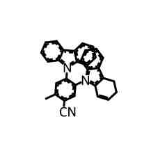 Cc1cc(-n2c3ccccc3c3ccccc32)c(-n2c3c(c4ccccc42)CCC=C3)cc1C#N